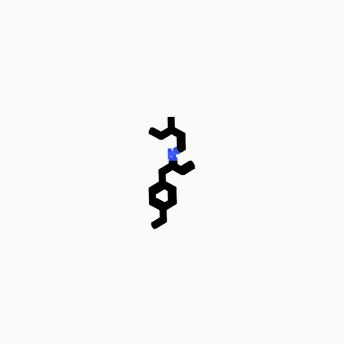 C=C/C(Cc1ccc(CC)cc1)=N\C=C/C(C)CC